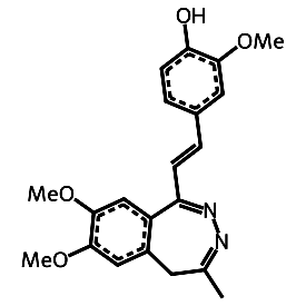 COc1cc(C=CC2=NN=C(C)Cc3cc(OC)c(OC)cc32)ccc1O